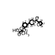 CC(C)(Oc1cccc(C2CCN(C(=O)c3ccco3)CC2)c1)C(=O)O